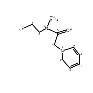 CN(CCF)C(=O)CN1C=CC=CC1